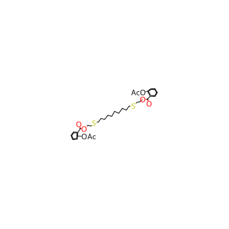 CC(=O)Oc1ccccc1C(=O)OCCSCCCCCCCCCCSCCOC(=O)c1ccccc1OC(C)=O